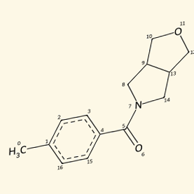 Cc1ccc(C(=O)N2CC3COCC3C2)cc1